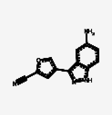 N#Cc1cc(-c2n[nH]c3ccc(N)cc23)co1